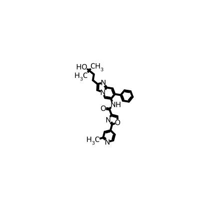 Cc1cc(-c2nc(C(=O)Nc3cn4cc(CCC(C)(C)O)nc4cc3-c3ccccc3)co2)ccn1